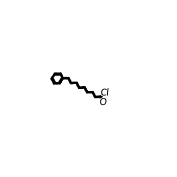 O=C(Cl)CCCCCCCCc1ccccc1